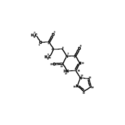 COC(=O)C(C)Cn1c(=O)nc(-n2cccn2)[nH]c1=O